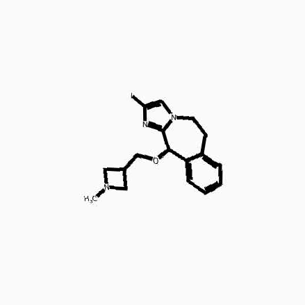 CN1CC(COC2c3ccccc3CCn3cc(I)nc32)C1